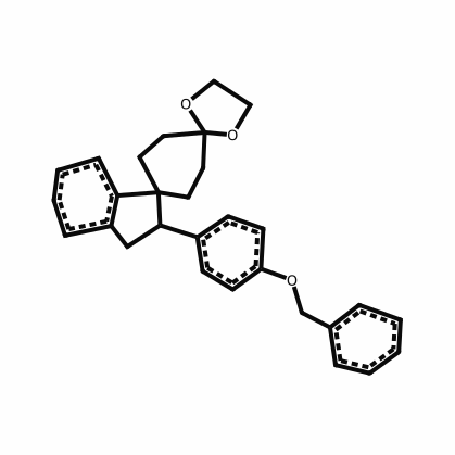 c1ccc(COc2ccc(C3Cc4ccccc4C34CCC3(CC4)OCCO3)cc2)cc1